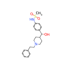 CS(=O)(=O)Nc1ccc(C(O)C2CCN(CCc3ccccc3)CC2)cc1